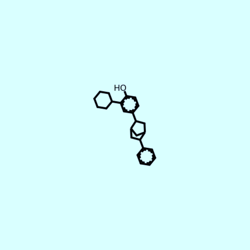 Oc1ccc(C2CC3CC2CC3c2ccccc2)cc1C1CCCCC1